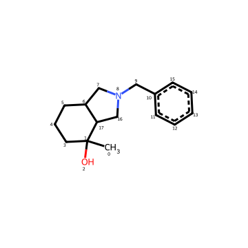 CC1(O)CCCC2CN(Cc3ccccc3)CC21